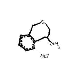 Cl.NC1CSCc2ccccc21